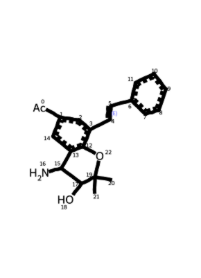 CC(=O)c1cc(/C=C/c2ccccc2)c2c(c1)C(N)C(O)C(C)(C)O2